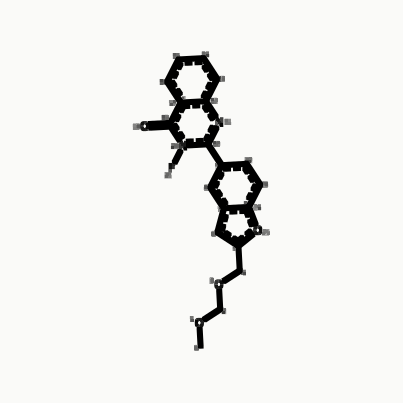 COCOCc1cc2cc(-c3nc4ccccc4c(=O)n3F)ccc2o1